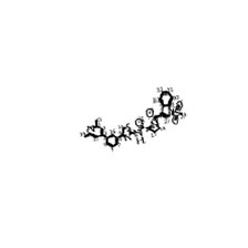 Cc1cc(-c2cccc(-c3csc(NC(=O)[C@H]4CCN4C(=O)c4cn(S(C)(=O)=O)c5ccccc45)n3)c2)cc(C)n1